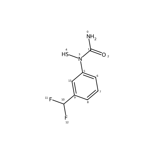 NC(=O)N(S)c1cccc(C(F)F)c1